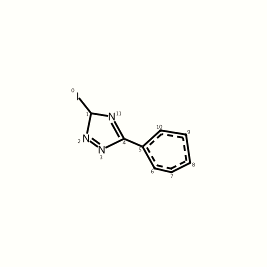 IC1N=NC(c2ccccc2)=N1